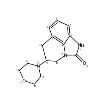 O=c1[nH]c2cccc3c2n1CC(N1CCOCC1)C3